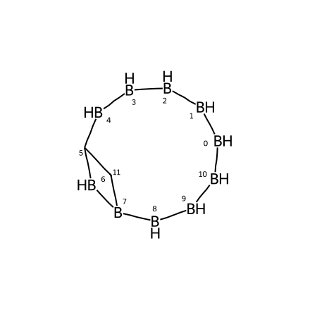 B1BBBBC2BB(BBB1)C2